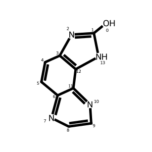 Oc1nc2ccc3nccnc3c2[nH]1